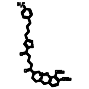 COc1ccc(CN2CCN(C(=O)CCCC(=O)c3cc(CCCCc4ccc(C)cc4)cs3)CC2)c(OC)c1OC